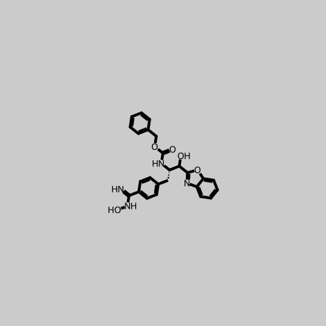 N=C(NO)c1ccc(C[C@H](NC(=O)OCc2ccccc2)C(O)c2nc3ccccc3o2)cc1